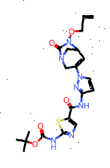 C=CCON1C(=O)N2CC(n3ccc(NC(=O)c4cnc(NC(=O)OC(C)(C)C)s4)n3)=CC1C2